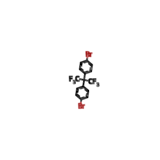 FC(F)(F)C(c1ccc(Br)cc1)(c1ccc(Br)cc1)C(F)(F)F